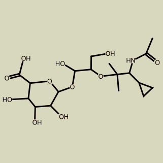 CC(=O)NC(C1CC1)C(C)(C)OC(CO)C(O)OC1OC(C(=O)O)C(O)C(O)C1O